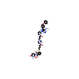 Nc1ncnc2c1c(-c1ccc(Oc3ccccc3)cc1)nn2[C@@H]1CCCN(C(=O)/C=C/CN2CCN(C(=O)CCCCSc3cccc4c3C(=O)N(C3CCC(=O)NC3=O)C4=O)CC2)C1